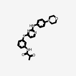 CC(=O)C(=O)Nc1cccc(Sc2ccnc(Nc3ccc(N4CCOCC4)cc3)n2)c1